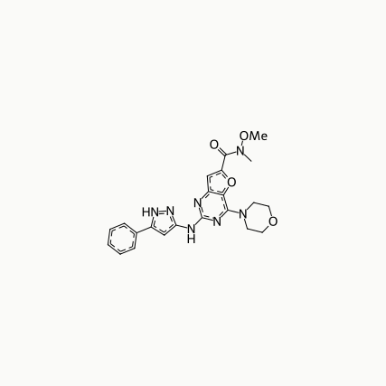 CON(C)C(=O)c1cc2nc(Nc3cc(-c4ccccc4)[nH]n3)nc(N3CCOCC3)c2o1